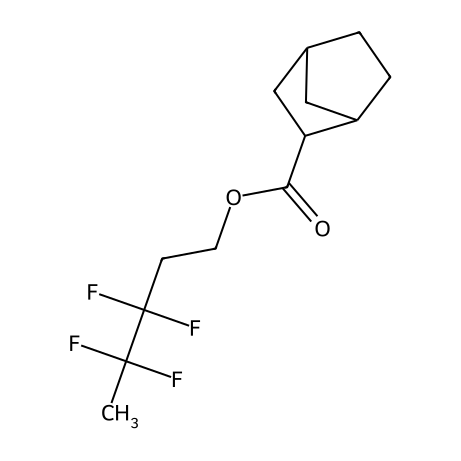 CC(F)(F)C(F)(F)CCOC(=O)C1CC2CCC1C2